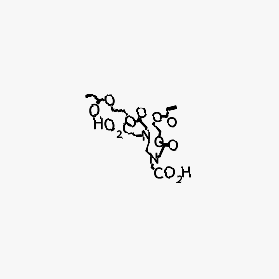 C=CC(=O)OCCOC(=O)CN(CCN(CC(=O)O)CC(=O)OCCOC(=O)C=C)CC(=O)O